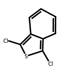 Clc1sc(Cl)c2ccccc12